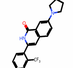 O=c1[nH]c(-c2ccccc2C(F)(F)F)cc2ccc(N3CCCC3)cc12